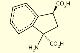 N[C@]1(C(=O)O)C[C@H](C(=O)O)c2ccccc21